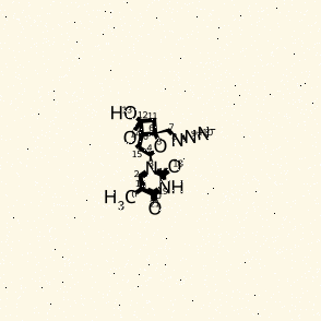 Cc1cn([C@@H]2O[C@@]3(CN=[N+]=[N-])CC4(O)OC2C43)c(=O)[nH]c1=O